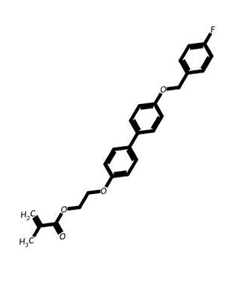 C=C(C)C(=O)OCCOc1ccc(-c2ccc(OCc3ccc(F)cc3)cc2)cc1